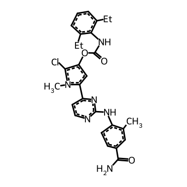 CCc1cccc(CC)c1NC(=O)Oc1cc(-c2ccnc(Nc3ccc(C(N)=O)cc3C)n2)n(C)c1Cl